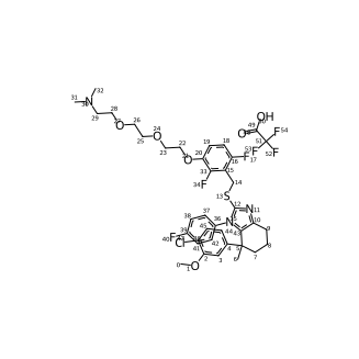 COc1cc(C2(C)CCCc3nc(SCc4c(F)ccc(OCCOCCOCCN(C)C)c4F)n(-c4ccc(F)cc4)c32)ccc1Cl.O=C(O)C(F)(F)F